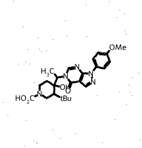 COc1ccc(-n2ncc3c(=O)n(C(C)C4(O)CCN(C(=O)O)CC4C(C)(C)C)cnc32)cc1